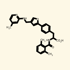 Cc1ccnc(NCc2coc(-c3ccc(CC(NC(=O)c4c(C)cccc4C)C(=O)O)cc3)c2)c1